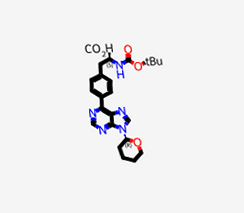 CC(C)(C)OC(=O)N[C@@H](Cc1ccc(-c2ncnc3c2ncn3[C@H]2CCCCO2)cc1)C(=O)O